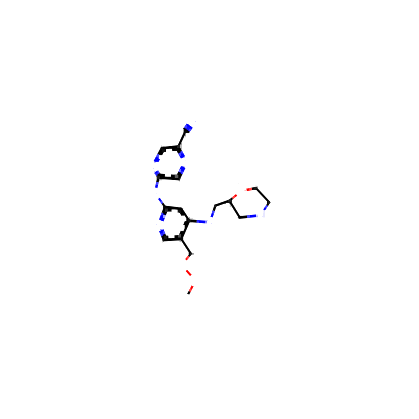 COOCc1cnc(Nc2cnc(C#N)cn2)cc1NCC1CNCCO1